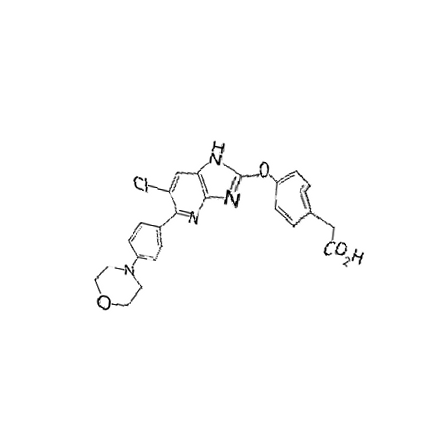 O=C(O)Cc1ccc(Oc2nc3nc(-c4ccc(N5CCOCC5)cc4)c(Cl)cc3[nH]2)cc1